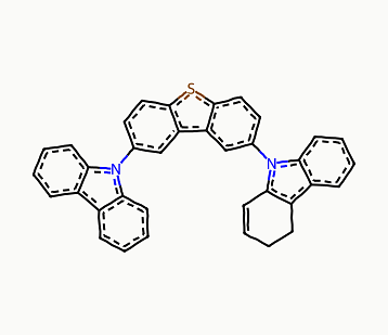 C1=Cc2c(c3ccccc3n2-c2ccc3sc4ccc(-n5c6ccccc6c6ccccc65)cc4c3c2)CC1